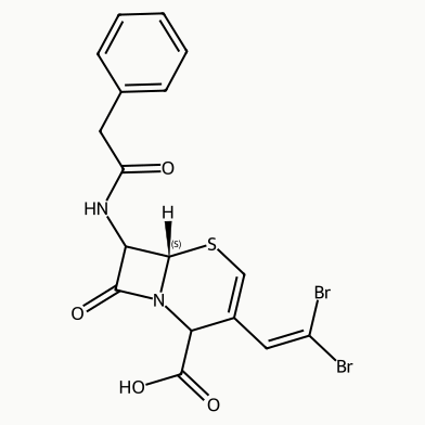 O=C(Cc1ccccc1)NC1C(=O)N2C(C(=O)O)C(C=C(Br)Br)=CS[C@@H]12